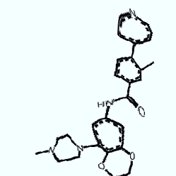 Cc1cc(C(=O)Nc2cc3c(c(N4CCN(C)CC4)c2)OCCO3)ccc1-c1ccncc1